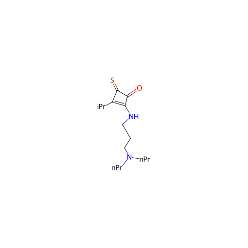 CCCN(CCC)CCCNc1c(C(C)C)c(=S)c1=O